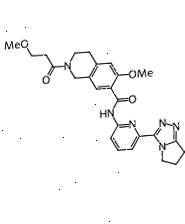 COCCC(=O)N1CCc2cc(OC)c(C(=O)Nc3cccc(-c4nnc5n4CCC5)n3)cc2C1